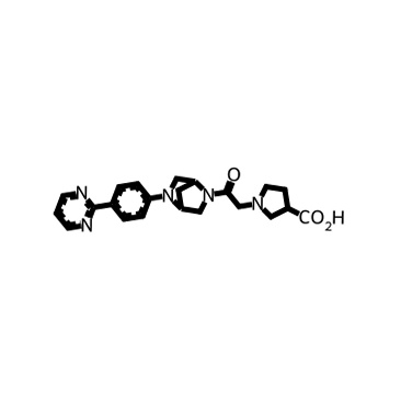 O=C(O)C1CCN(CC(=O)N2CC3CC2CN3c2ccc(-c3ncccn3)cc2)C1